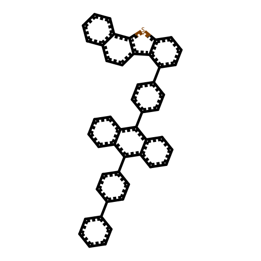 c1ccc(-c2ccc(-c3c4ccccc4c(-c4ccc(-c5cccc6sc7c8ccccc8ccc7c56)cc4)c4ccccc34)cc2)cc1